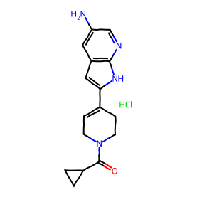 Cl.Nc1cnc2[nH]c(C3=CCN(C(=O)C4CC4)CC3)cc2c1